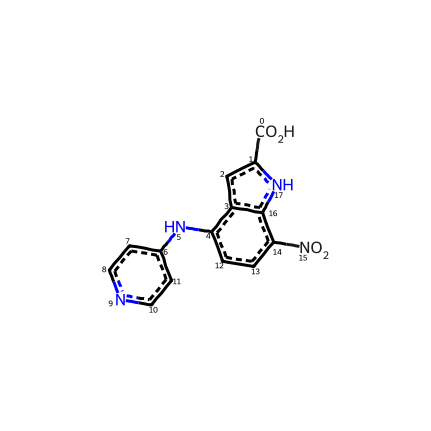 O=C(O)c1cc2c(Nc3ccncc3)ccc([N+](=O)[O-])c2[nH]1